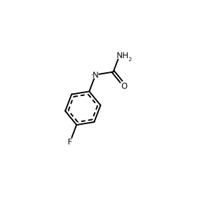 NC(=O)[N]c1ccc(F)cc1